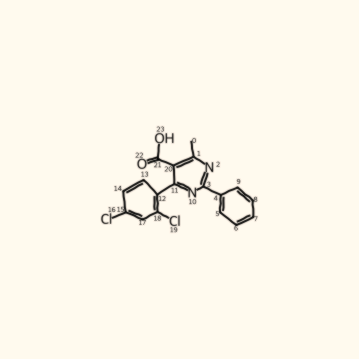 Cc1nc(-c2ccccc2)nc(-c2ccc(Cl)cc2Cl)c1C(=O)O